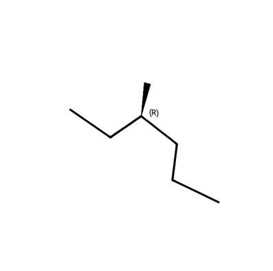 CCC[C@H](C)CC